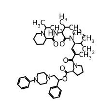 C/C(=C\[C@H](C(C)C)N(C)C(=O)[C@@H](NC(=O)C1CCCCN1C(C)C)C(C)C)C(=O)N1CCC[C@H]1C(=O)OC(CN1CCN(c2ccccc2)CC1)c1ccccc1